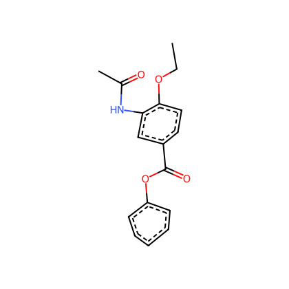 CCOc1ccc(C(=O)Oc2ccccc2)cc1NC(C)=O